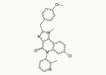 COc1ccc(Cc2nc3c(=O)n(-c4cccnc4C)c4cc(Cl)ccc4c3n2C)cc1